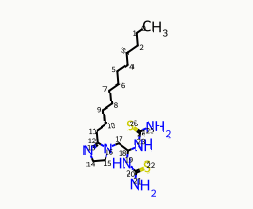 CCCCCCCCCCCCC1=NCCN1CC(NC(N)=S)NC(N)=S